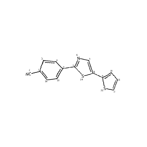 N#Cc1ccc(-c2ncc(-c3cccs3)s2)cc1